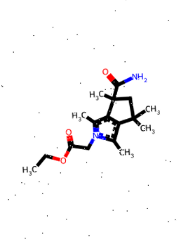 CCOC(=O)Cn1c(C)c2c(c1C)C(C)(C(N)=O)CC2(C)C